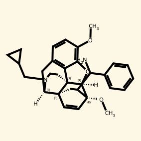 COc1ccc2c3c1O[C@@H]1[C@]34CCN(CC3CC3)[C@H](C2)[C@]42C=C[C@@]1(OC)C(C(N)c1ccccc1)C2